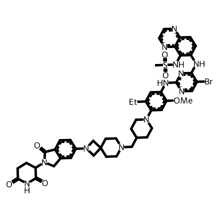 CCc1cc(Nc2ncc(Br)c(Nc3ccc4nccnc4c3NS(C)(=O)=O)n2)c(OC)cc1N1CCC(CN2CCC3(CC2)CN(c2ccc4c(c2)CN(C2CCC(=O)NC2=O)C4=O)C3)CC1